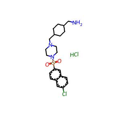 Cl.NCC1CCC(CN2CCN(S(=O)(=O)c3ccc4cc(Cl)ccc4c3)CC2)CC1